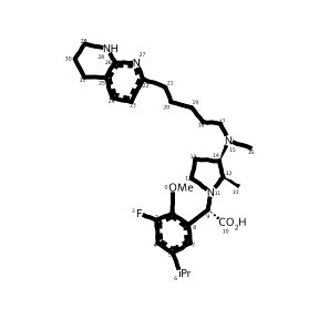 COc1c(F)cc(C(C)C)cc1[C@@H](C(=O)O)N1CC[C@@H](N(C)CCCCCc2ccc3c(n2)NCCC3)[C@H]1C